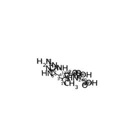 CCC(CCC1CNc2nc(N)nc(N)c21)c1ccc(C(=O)N[C@@H](CCC(=O)O)C(=O)O)s1